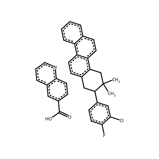 CC1(C)Cc2c(ccc3c2ccc2ccccc23)CC1c1ccc(F)c(Cl)c1.O=C(O)c1ccc2ncccc2c1